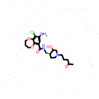 CC(=O)CCCN1CC[C@@H](CNC(=O)c2cc(N)c(Cl)c3c2OCCCO3)C(O)C1